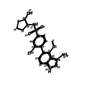 COc1c(-c2ccc(S(=O)(=O)NC3CCCC3O)cc2Cl)ccc2[nH]nc(N)c12